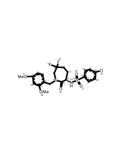 COc1ccc(CN2CC(F)(F)CC[C@@H](NS(=O)(=O)c3ccc(Cl)cc3)C2=O)c(OC)c1